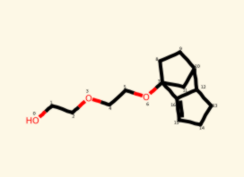 OCCOCCOC12CCC(C1)C1CCC=C12